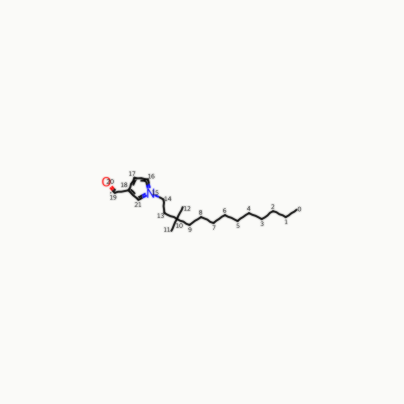 CCCCCCCCCCC(C)(C)CCn1ccc([C]=O)c1